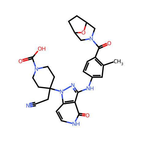 Cc1cc(Nc2nn(C3(CC#N)CCN(C(=O)O)CC3)c3cc[nH]c(=O)c23)ccc1C(=O)N1CC2CCC(C1)O2